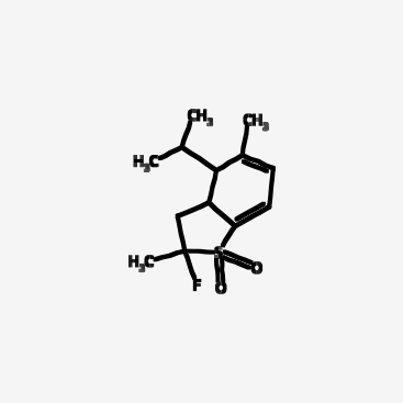 CC1=CC=C2C(CC(C)(F)S2(=O)=O)C1C(C)C